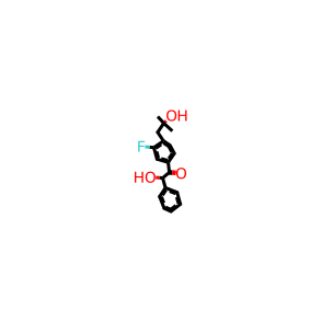 CC(C)(O)Cc1ccc(C(=O)C(O)c2ccccc2)cc1F